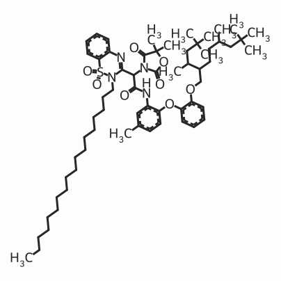 CCCCCCCCCCCCCCCCCCN1C(C(C(=O)Nc2cc(C)ccc2Oc2ccccc2OCC(CCC(C)CC(C)(C)C)C(C)CC(C)(C)C)N2C(=O)OC(C)(C)C2=O)=Nc2ccccc2S1(=O)=O